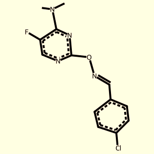 CN(C)c1nc(ON=Cc2ccc(Cl)cc2)ncc1F